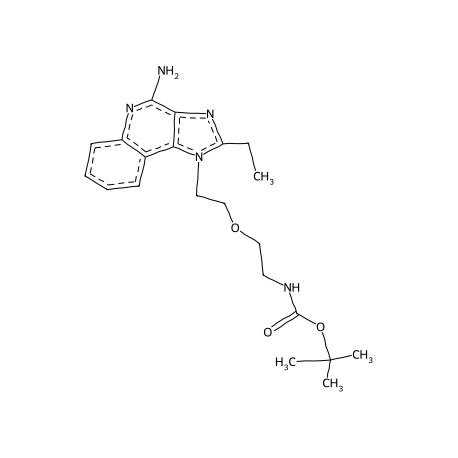 CCc1nc2c(N)nc3ccccc3c2n1CCOCCNC(=O)OC(C)(C)C